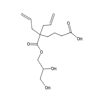 C=CCC(CC=C)(CCCC(=O)O)C(=O)OCC(O)CO